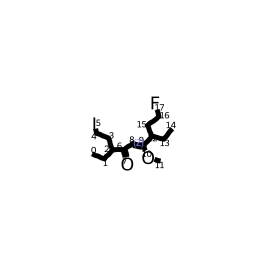 CCC(CCI)C(=O)/C=C(\OC)C(CC)CCF